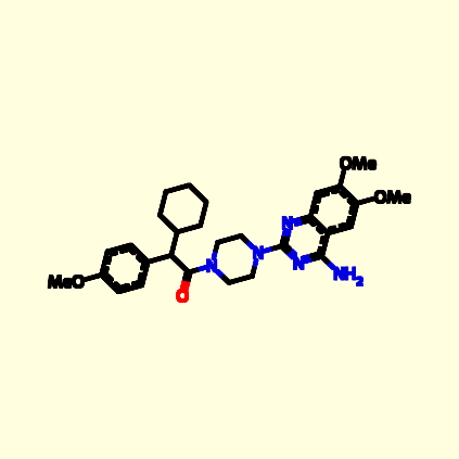 COc1ccc(C(C(=O)N2CCN(c3nc(N)c4cc(OC)c(OC)cc4n3)CC2)C2CCCCC2)cc1